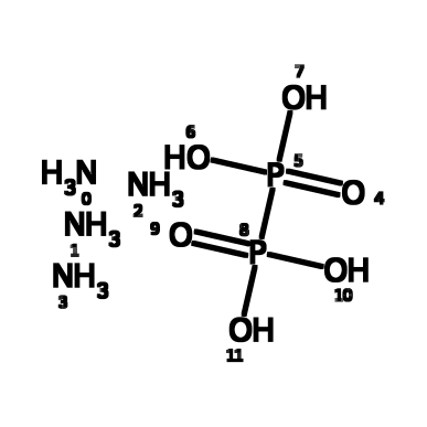 N.N.N.N.O=P(O)(O)P(=O)(O)O